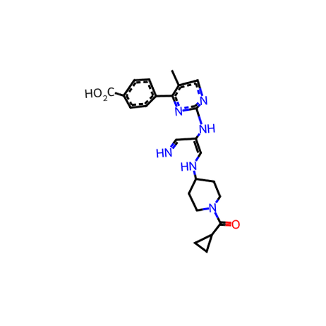 Cc1cnc(N/C(C=N)=C/NC2CCN(C(=O)C3CC3)CC2)nc1-c1ccc(C(=O)O)cc1